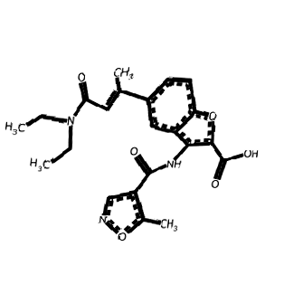 CCN(CC)C(=O)C=C(C)c1ccc2oc(C(=O)O)c(NC(=O)c3cnoc3C)c2c1